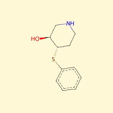 O[C@H]1CNCC[C@@H]1Sc1ccccc1